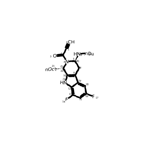 C#CC(=O)N1[C@@H](NCCCC)Cc2c([nH]c3c(F)cc(F)cc23)[C@@H]1CCCCCCCC